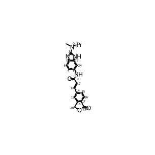 CC(C)N(C)c1nc2ccc(NC(=O)C=Cc3ccc4c(c3)COC4=O)cc2[nH]1